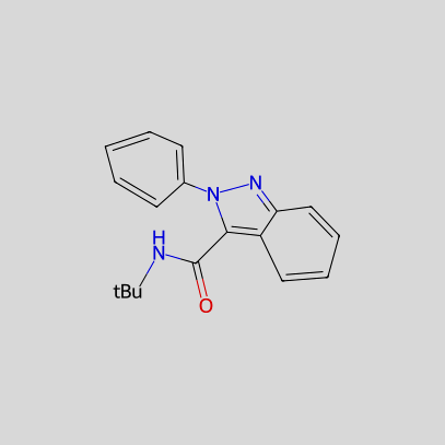 CC(C)(C)NC(=O)c1c2ccccc2nn1-c1ccccc1